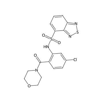 O=C(c1ccc(Cl)cc1NS(=O)(=O)c1cccc2nsnc12)N1CCOCC1